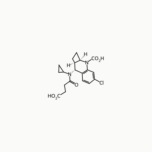 O=C(O)CCC(=O)N(C1CC1)[C@H]1c2ccc(Cl)cc2N(C(=O)O)[C@@H]2CC[C@@H]21